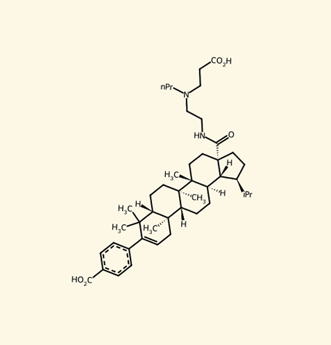 CCCN(CCNC(=O)[C@]12CC[C@@H](C(C)C)[C@@H]1[C@H]1CC[C@@H]3[C@@]4(C)CC=C(c5ccc(C(=O)O)cc5)C(C)(C)[C@@H]4CC[C@@]3(C)[C@]1(C)CC2)CCC(=O)O